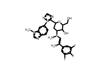 Cn1cnc2ccc(-n3ncnc3C3CC(N(N)/C=C(\N)c4cc(F)c(F)c(F)c4)C(O)C(CO)O3)cc21